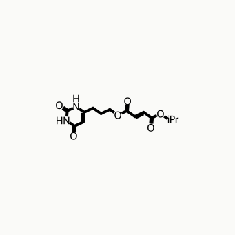 CC(C)OC(=O)/C=C/C(=O)OCCCc1cc(=O)[nH]c(=O)[nH]1